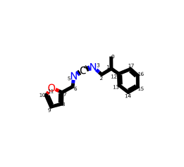 CC(CN=C=NCc1ccco1)c1ccccc1